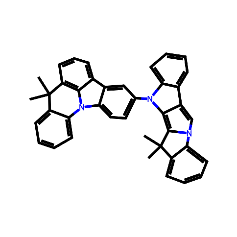 CC1(C)c2ccccc2-n2c3ccc(-n4c5ccccc5c5cn6c(c54)C(C)(C)c4ccccc4-6)cc3c3cccc1c32